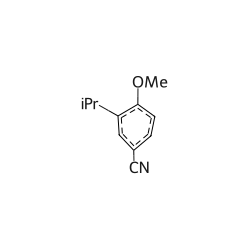 COc1ccc(C#N)cc1C(C)C